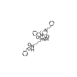 CC(c1ccccc1)N1C(=O)[C@H](CCCCNC(=O)OCc2ccccc2)NC(=O)C12CCN(CCc1ccccc1)CC2